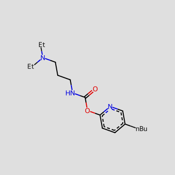 CCCCc1ccc(OC(=O)NCCCN(CC)CC)nc1